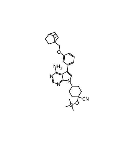 C[Si](C)(C)OC1(C#N)CCC(n2cc(-c3cccc(OCC45CCC(CC4)O5)c3)c3c(N)ncnc32)CC1